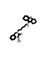 O=C(/C=N/O)N(CCCCCNc1c2c(nc3ccccc13)CCCC2)Cc1ccccc1